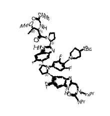 CCCC(=O)N(CCC)Cc1nc2cc([C@H]3CC[C@H](c4cc5nc([C@@H]6CCCN6C(=O)[C@@H](NC(=O)OC)[C@@H](C)OC)[nH]c5cc4F)N3c3cc(F)c(N4CCC(C(C)(C)C)CC4)c(F)c3)c(F)cc2[nH]1